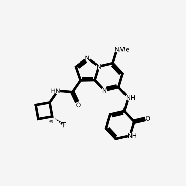 CNc1cc(Nc2ccc[nH]c2=O)nc2c(C(=O)NC3CC[C@H]3F)cnn12